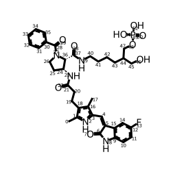 Cc1[nH]c(/C=C2\C(=O)Nc3ccc(F)cc32)c(C)c1CCC(=O)N[C@@H]1CCN(C(=O)c2ccccc2)[C@@H]1C(=O)NCCCCC(CO)COP(=O)(O)O